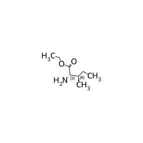 CCOC(=O)[C@@H](N)[C@H](C)CC